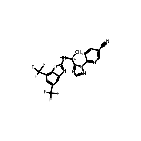 C[C@H](Nc1nc2cc(C(F)(F)F)cc(C(F)(F)F)c2o1)c1ncnn1-c1ccc(C#N)cn1